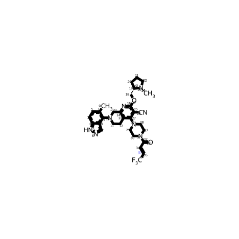 Cc1ccc2[nH]ncc2c1N1CCc2c(nc(OC[C@@H]3CCCN3C)c(C#N)c2N2CCN(C(=O)/C=C/C(F)(F)F)CC2)C1